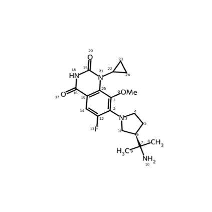 COc1c(N2CC[C@@H](C(C)(C)N)C2)c(F)cc2c(=O)[nH]c(=O)n(C3CC3)c12